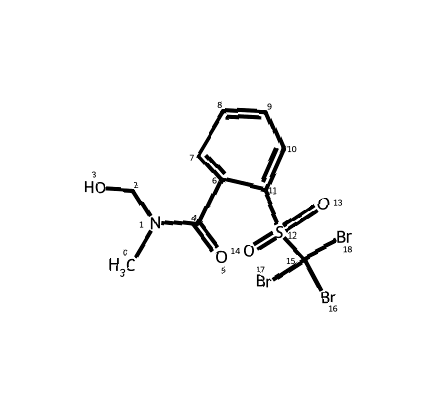 CN(CO)C(=O)c1ccccc1S(=O)(=O)C(Br)(Br)Br